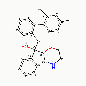 Cc1ccc(-c2ccccc2CC(O)(c2ccccc2)C2CNCCO2)c(C)c1